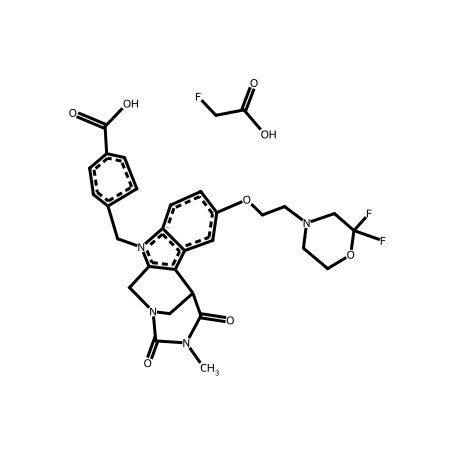 CN1C(=O)C2CN(Cc3c2c2cc(OCCN4CCOC(F)(F)C4)ccc2n3Cc2ccc(C(=O)O)cc2)C1=O.O=C(O)CF